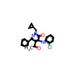 CC(=O)c1c(-c2ccccc2)nn(CC2CC2)c(=O)c1Nc1ccccc1Cl